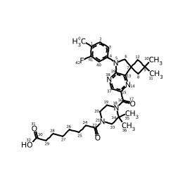 Cc1ccc(N2CC3(CC(C)(C)C3)c3nc(C(=O)N4CCN(C(=O)CCCCCCC(=O)O)CC4(C)C)cnc32)cc1F